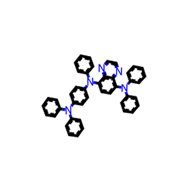 c1ccc(N(c2ccccc2)c2ccc(N(c3ccccc3)c3ccc(N(c4ccccc4)c4ccccc4)c4nccnc34)cc2)cc1